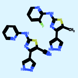 Cc1sc(Nc2ncccc2F)nc1-c1cn[nH]c1.N#Cc1sc(Nc2ccccn2)nc1-c1cn[nH]c1